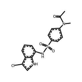 CC(=O)N(C)c1ccc(S(=O)(=O)Nc2cccc3c(Cl)c[nH]c23)cc1